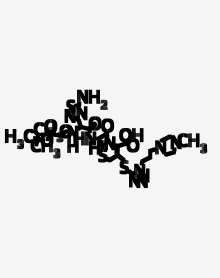 CN1CCN(CCCn2nnnc2SCC2=C(C(=O)O)N3C(=O)C(NC(=O)C(NOCC(=O)OC(C)(C)C)c4nsc(N)n4)[C@@H]3SC2)CC1